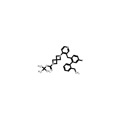 CCc1ccccc1-c1cc(F)ccc1Cc1cnccc1N1CC2(CN(C(=O)OC(C)(C)C)C2)C1